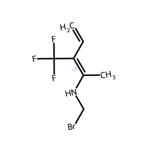 C=C/C(=C(\C)NCBr)C(F)(F)F